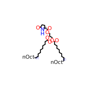 CCCCCCCC/C=C\CCCCCCCC(=O)OCC(COC(=O)[C@@H]1CCC(=O)N1)OC(=O)CCCCCCC/C=C\CCCCCCCC